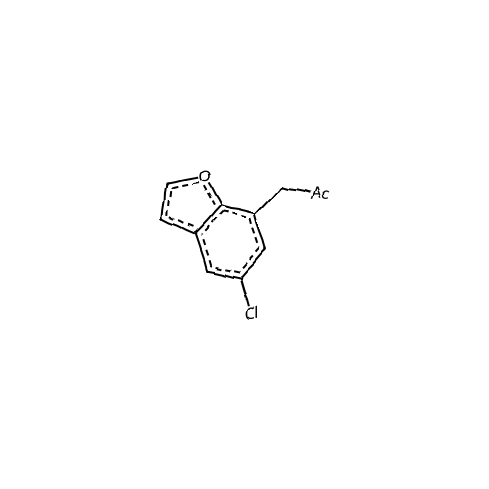 CC(=O)Cc1cc(Cl)cc2ccoc12